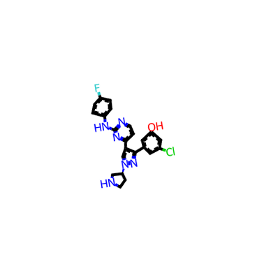 Oc1cc(Cl)cc(-c2nn([C@H]3CCNC3)cc2-c2ccnc(Nc3ccc(F)cc3)n2)c1